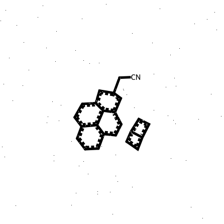 N#CCc1cc2ccc3cccc4ccc(c1)c2c34.c1cc2ccc1-2